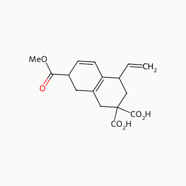 C=CC1CC(C(=O)O)(C(=O)O)CC2=C1C=CC(C(=O)OC)C2